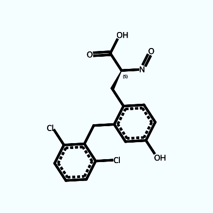 O=N[C@@H](Cc1ccc(O)cc1Cc1c(Cl)cccc1Cl)C(=O)O